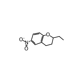 CCC1CCc2cc([N+](=O)[O-])ccc2O1